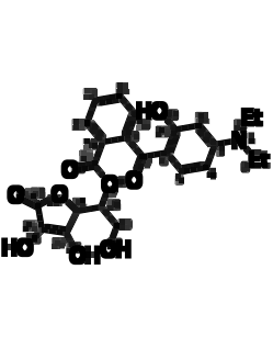 CCN(CC)c1ccc(C(=O)c2ccccc2C(=O)OC(CO)C2OC(=O)C(O)=C2O)c(O)c1